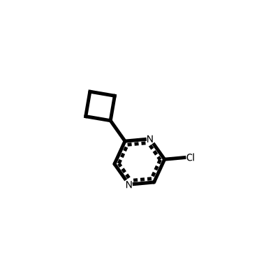 Clc1cncc(C2CCC2)n1